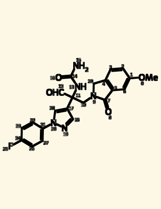 COc1ccc2c(c1)C(=O)N(CC(C=O)(NC(N)=O)c1cnn(-c3ccc(F)cc3)c1)C2